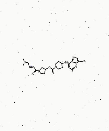 Cc1cc(NC2CCN(C(=O)OC3CCN(C(=O)/C=C/CN(C)C)C3)CC2)c2ncc(C(C)C)n2n1